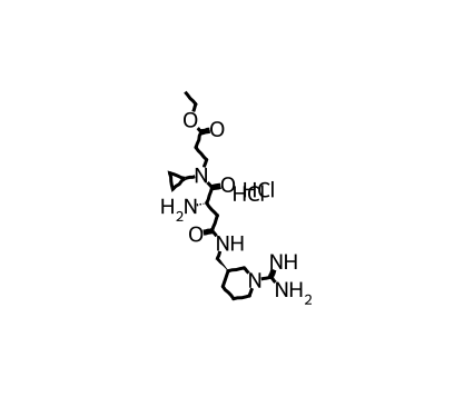 CCOC(=O)CCN(C(=O)[C@@H](N)CC(=O)NC[C@@H]1CCCN(C(=N)N)C1)C1CC1.Cl.Cl